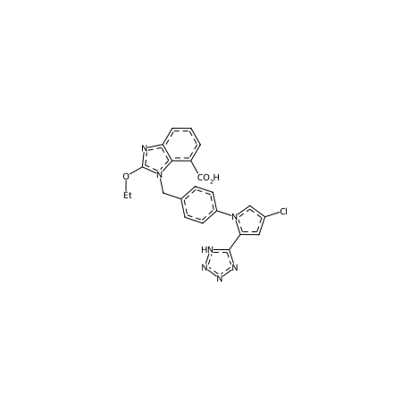 CCOc1nc2cccc(C(=O)O)c2n1Cc1ccc(-n2cc(Cl)cc2-c2nnn[nH]2)cc1